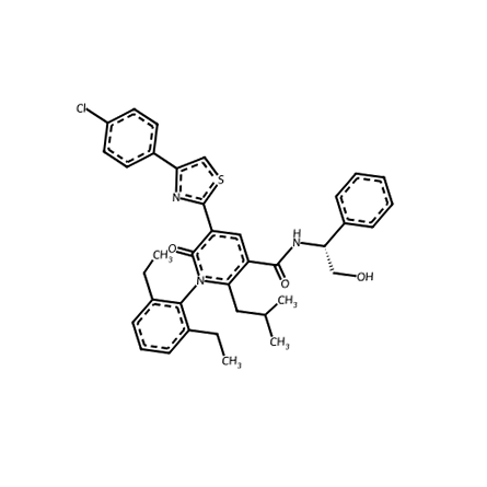 CCc1cccc(CC)c1-n1c(CC(C)C)c(C(=O)N[C@@H](CO)c2ccccc2)cc(-c2nc(-c3ccc(Cl)cc3)cs2)c1=O